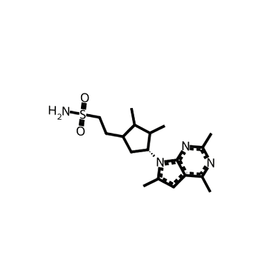 Cc1nc(C)c2cc(C)n([C@@H]3CC(CCS(N)(=O)=O)C(C)C3C)c2n1